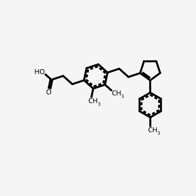 Cc1ccc(C2=C(CCc3ccc(CCC(=O)O)c(C)c3C)CCC2)cc1